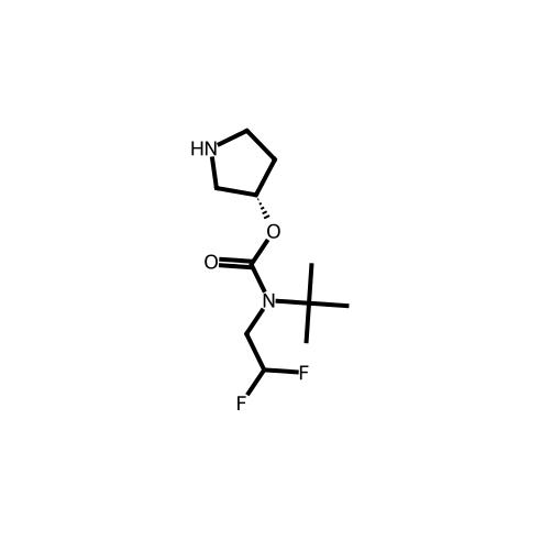 CC(C)(C)N(CC(F)F)C(=O)O[C@H]1CCNC1